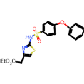 CCOC(=O)Cc1csc(NS(=O)(=O)c2ccc(Oc3ccccc3)cc2)n1